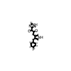 O=C(Cc1c[nH]cc1Cc1ccc(F)cc1)C(=O)c1nc[nH]n1